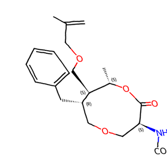 C=C(C)COC[C@@H]1[C@@H](Cc2ccccc2)COC[C@H](NC(=O)O)C(=O)O[C@H]1C